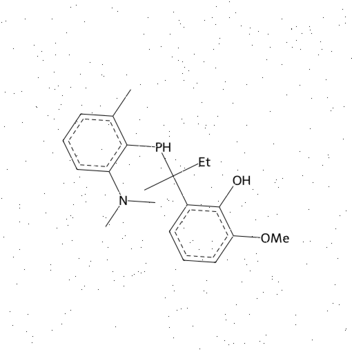 CCC(C)(Pc1c(C)cccc1N(C)C)c1cccc(OC)c1O